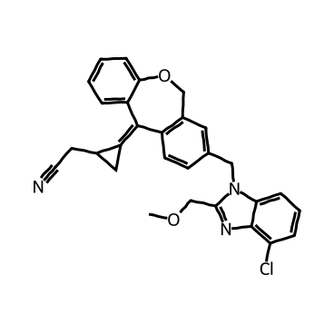 COCc1nc2c(Cl)cccc2n1Cc1ccc2c(c1)COc1ccccc1C2=C1CC1CC#N